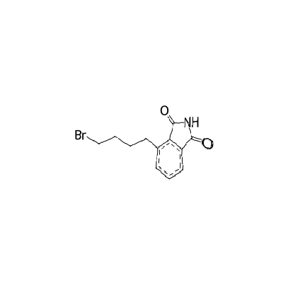 O=C1NC(=O)c2c(CCCCBr)cccc21